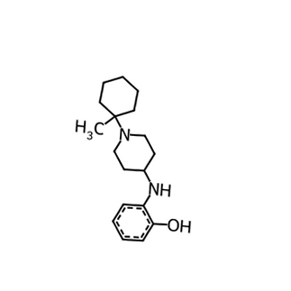 CC1(N2CCC(Nc3ccccc3O)CC2)CCCCC1